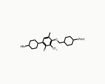 CCCCCC1CCC(COc2c(C)cc(C3CCC(CCCC)CC3)c(F)c2C(F)(F)F)CC1